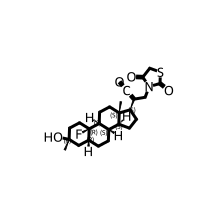 C[C@@]1(O)CC[C@@]2(F)[C@H](CC[C@H]3[C@@H]4CC[C@H](C(=C=O)CN5C(=O)CSC5=O)[C@@]4(C)CC[C@@H]32)C1